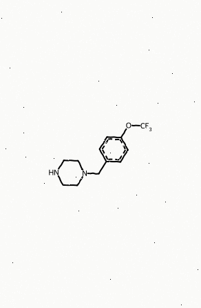 FC(F)(F)Oc1ccc(CN2CCNCC2)cc1